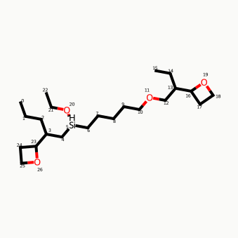 CCCC(C[SiH](CCCCCOCC(CC)C1CCO1)OCC)C1CCO1